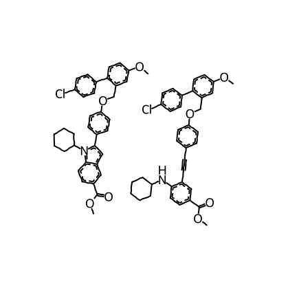 COC(=O)c1ccc(NC2CCCCC2)c(C#Cc2ccc(OCc3cc(OC)ccc3-c3ccc(Cl)cc3)cc2)c1.COC(=O)c1ccc2c(c1)cc(-c1ccc(OCc3cc(OC)ccc3-c3ccc(Cl)cc3)cc1)n2C1CCCCC1